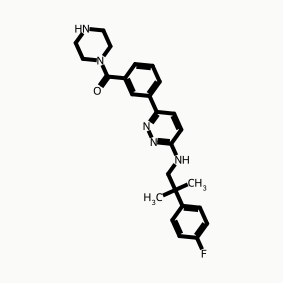 CC(C)(CNc1ccc(-c2cccc(C(=O)N3CCNCC3)c2)nn1)c1ccc(F)cc1